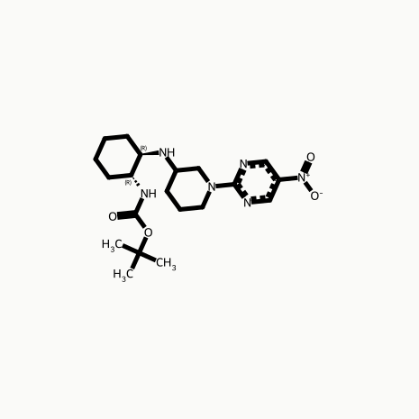 CC(C)(C)OC(=O)N[C@@H]1CCCC[C@H]1NC1CCCN(c2ncc([N+](=O)[O-])cn2)C1